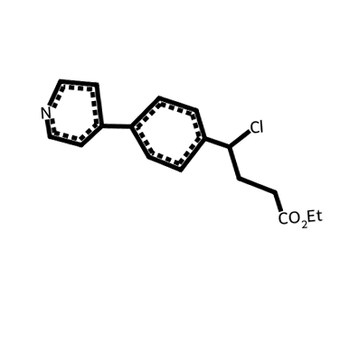 CCOC(=O)CCC(Cl)c1ccc(-c2ccncc2)cc1